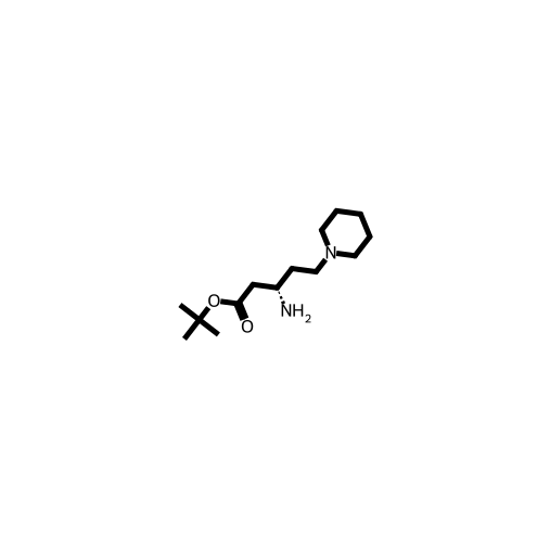 CC(C)(C)OC(=O)C[C@@H](N)CCN1CCCCC1